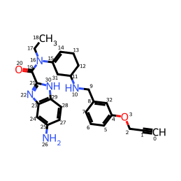 C#CCOc1cccc(CNC2CCC=C(N(CC)C(=O)c3nc4cc(N)ccc4[nH]3)C2)c1